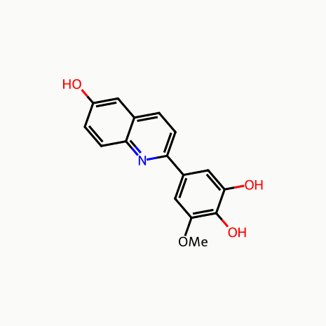 COc1cc(-c2ccc3cc(O)ccc3n2)cc(O)c1O